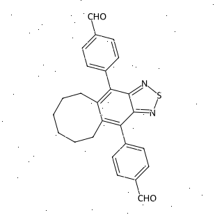 O=Cc1ccc(-c2c3c(c(-c4ccc(C=O)cc4)c4nsnc24)CCCCCC3)cc1